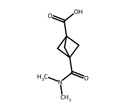 CN(C)C(=O)C12CC(C(=O)O)(C1)C2